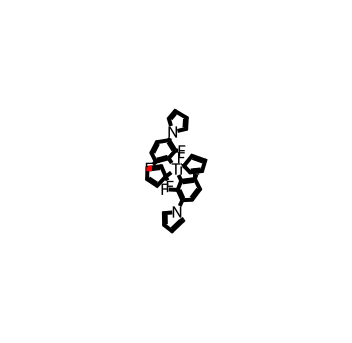 Fc1ccc(-n2cccc2)c(F)[c]1[Ti]([c]1c(F)ccc(-n2cccc2)c1F)([C]1(F)C=CC=C1)[C]1(F)C=CC=C1